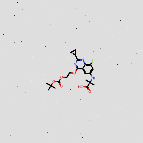 CC(C)(C)OC(=O)OCCOc1nc(C2CC2)nc2c(F)cc(NC(C)(C)C(=O)O)cc12